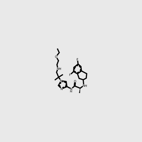 CCOCCNCC(C)(C)n1cnc(NC(=O)[C@H](C)NC2CCc3cc(F)cc(F)c3C2)c1